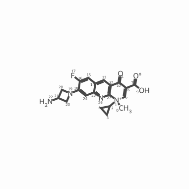 C[N+]1(C2CC2)C=C(C(=O)O)C(=O)c2cc3cc(F)c(N4CC(N)C4)cc3nc21